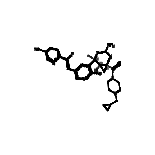 C[C@]1(c2cc(C=C(F)c3ccc(C#N)cn3)ccc2F)N=C(N)S[C@@]2(C(=O)N3CCN(CC4CC4)CC3)C[C@H]21